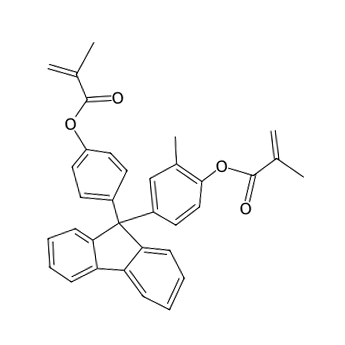 C=C(C)C(=O)Oc1ccc(C2(c3ccc(OC(=O)C(=C)C)c(C)c3)c3ccccc3-c3ccccc32)cc1